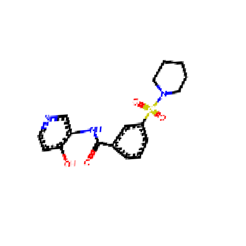 O=C(Nc1cnccc1O)c1cccc(S(=O)(=O)N2CCCCC2)c1